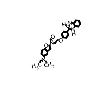 CCN(CC)c1ccc2oc(N(C=O)CCOc3ccc(C(=O)Nc4ccccc4N)cc3)cc2c1